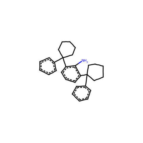 Nc1c(C2(c3ccccc3)CCCCC2)cccc1C1(c2ccccc2)CCCCC1